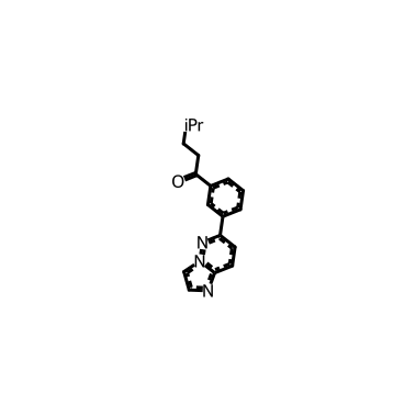 CC(C)CCC(=O)c1cccc(-c2ccc3nccn3n2)c1